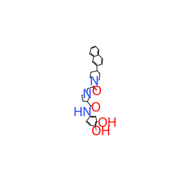 O=C(Nc1ccc(O)c(O)c1)C1CCN(CC(=O)N2CCC(c3ccc4ccccc4c3)CC2)C1